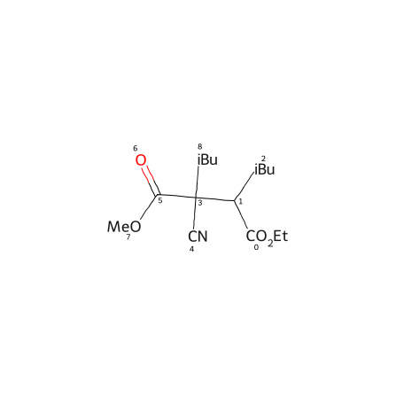 CCOC(=O)C(C(C)CC)C(C#N)(C(=O)OC)C(C)CC